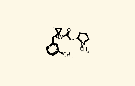 Cc1cccc(CC2(NC(=O)C[C@@H]3CCCN3C)CC2)c1